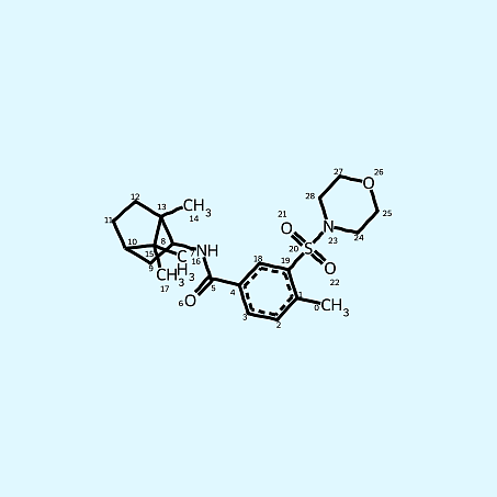 Cc1ccc(C(=O)NC2CC3CCC2(C)C3(C)C)cc1S(=O)(=O)N1CCOCC1